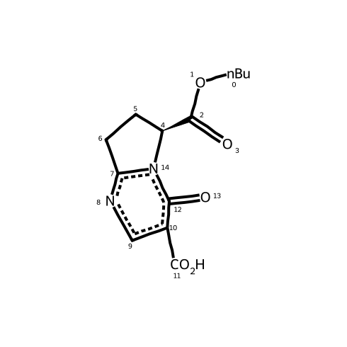 CCCCOC(=O)[C@@H]1CCc2ncc(C(=O)O)c(=O)n21